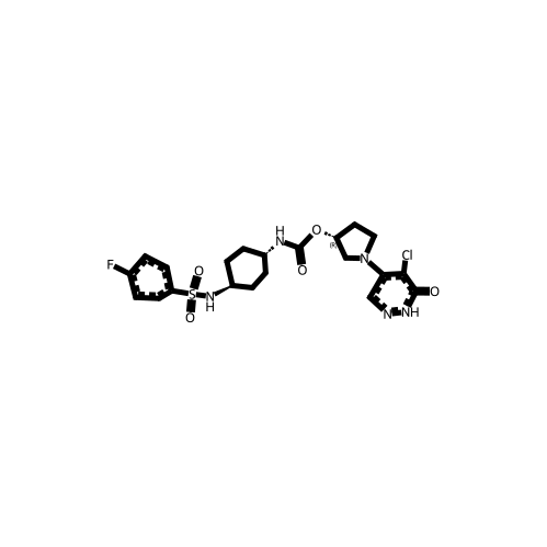 O=C(N[C@H]1CC[C@H](NS(=O)(=O)c2ccc(F)cc2)CC1)O[C@@H]1CCN(c2cn[nH]c(=O)c2Cl)C1